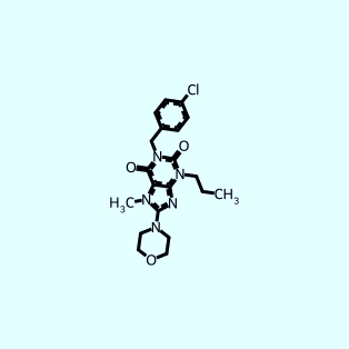 CCCn1c(=O)n(Cc2ccc(Cl)cc2)c(=O)c2c1nc(N1CCOCC1)n2C